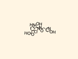 O=C(Cc1ccc(O)nc1)NN=C1C(=O)Nc2ccc(C(=O)O)c(Cl)c21